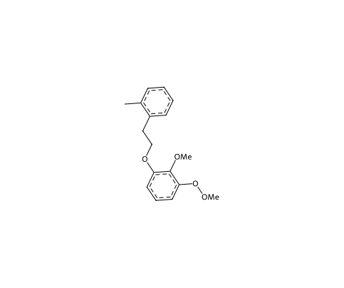 COOc1cccc(OCCc2ccccc2C)c1OC